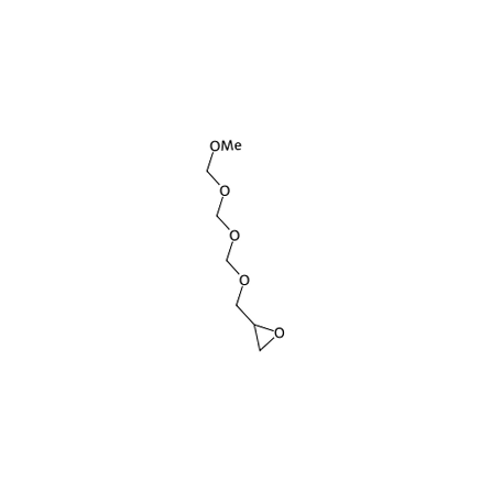 COCOCOCOCC1CO1